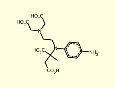 CC(CC(=O)O)(C(=O)O)N(CCN(CC(=O)O)CC(=O)O)c1ccc(N)cc1